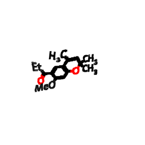 CCC(=O)c1cc2c(cc1OC)OC(C)(C)C=C2C